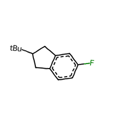 CC(C)(C)C1Cc2ccc(F)cc2C1